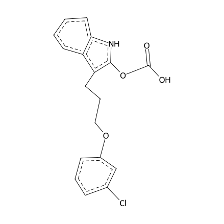 O=C(O)Oc1[nH]c2ccccc2c1CCCOc1cccc(Cl)c1